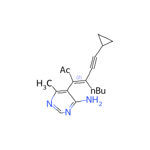 CCCC/C(C#CC1CC1)=C(/C(C)=O)c1c(C)ncnc1N